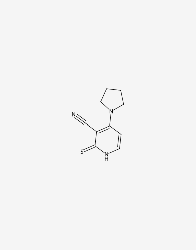 N#Cc1c(N2CCCC2)cc[nH]c1=S